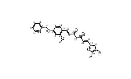 COc1cc(OCc2ccccn2)ccc1C=CC(=O)CC(=O)C=Cc1cc(C)c(C)o1